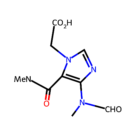 CNC(=O)c1c(N(C)C=O)ncn1CC(=O)O